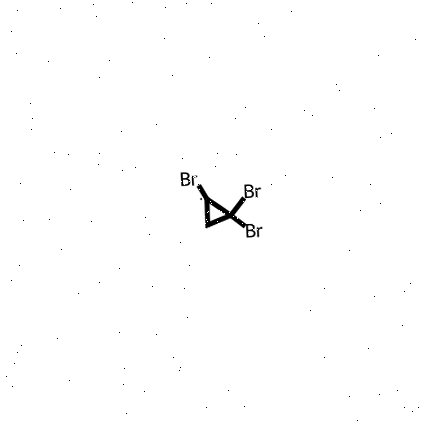 Br[C]1CC1(Br)Br